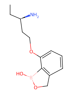 CC[C@@H](N)CCOc1cccc2c1B(O)OC2